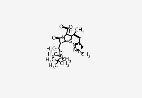 C/C(=C/c1cn(C)nn1)C1SC2[C@@H]([C@@H](C)O[Si](C)(C)C(C)(C)C)C(=O)N2C1C(=O)O